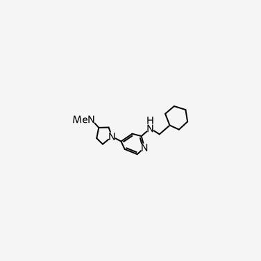 CNC1CCN(c2ccnc(NCC3CCCCC3)c2)C1